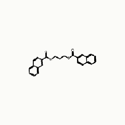 O=C(OCCCOC(=O)c1ccc2ccccc2c1)c1ccc2ccccc2c1